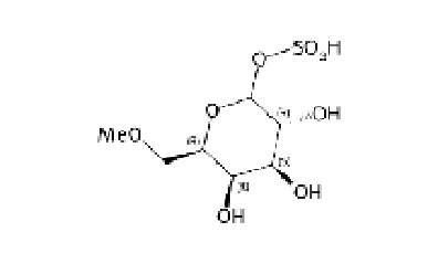 COC[C@H]1OC(OS(=O)(=O)O)[C@H](O)[C@@H](O)[C@H]1O